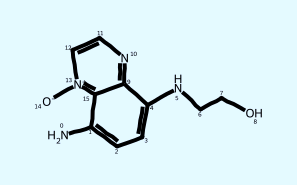 Nc1ccc(NCCO)c2ncc[n+]([O-])c12